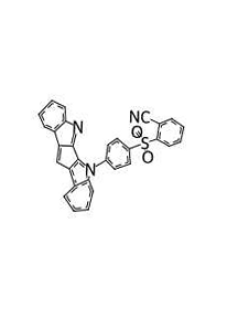 N#Cc1ccccc1S(=O)(=O)c1ccc(-n2c3c(c4ccccc42)C=C2C3=Nc3ccccc32)cc1